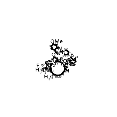 COc1ccc2c(O[C@@H]3C[C@H]4C(=O)N[C@]5(C(=O)NS(=O)(=O)C6(CF)CC6)C[C@H]5C=CCC[C@@H](C)C[C@@H](C)[C@H](N(C(=O)O)C(C)(C)C(F)(F)F)C(=O)N4C3)nc(N3CCCC3)nc2c1